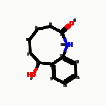 O=C1CCCCC(O)c2ccccc2N1